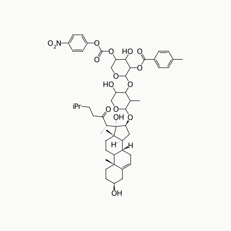 Cc1ccc(C(=O)OC2C(OC3C(O)COC(O[C@H]4C[C@H]5[C@@H]6CC=C7C[C@@H](O)CC[C@]7(C)C6CC[C@]5(C)[C@@]4(O)[C@H](C)C(=O)CCC(C)C)C3C)OCC(OC(=O)Oc3ccc([N+](=O)[O-])cc3)C2O)cc1